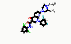 CC1CN(c2ccc3c(=O)c(C(=O)Nc4c(Cl)cccc4Cl)cn(-c4ccc(F)cc4F)c3n2)CCN1C(=O)O